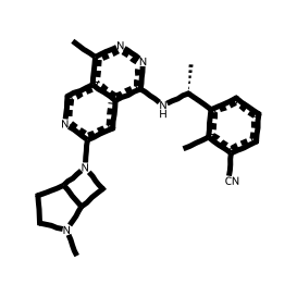 Cc1c(C#N)cccc1[C@@H](C)Nc1nnc(C)c2cnc(N3CC4C3CCN4C)cc12